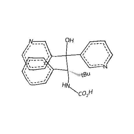 CC(C)(C)[C@](NC(=O)O)(c1ccccc1)C(O)(c1cccnc1)c1cccnc1